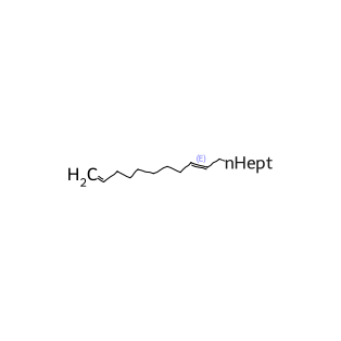 C=CCCCCCC/C=C/CCCCCCCC